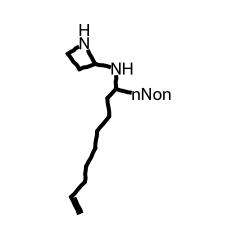 C=CCCCCCCC(CCCCCCCCC)NC1CCN1